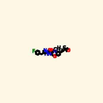 CN1C(=O)C(NC(=O)n2cc(Cc3ccc(F)cc3)cn2)COc2ccc(C#CC3(C)COC3)cc21